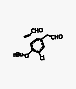 C=CC=O.CCCCOc1ccc(CC=O)cc1Cl